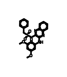 COc1cc(Nc2nc3ccccc3nc2NS(=O)(=O)Cc2ccccc2)cc(OC)c1